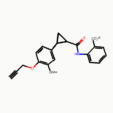 C#CCOc1ccc(C2CC2C(=O)Nc2ccccc2C(=O)O)cc1OC